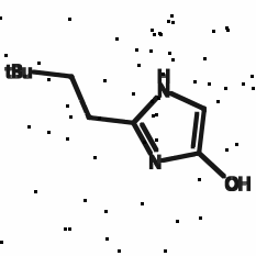 CC(C)(C)CCc1nc(O)c[nH]1